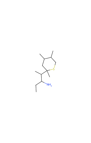 CCC(N)C(C)C1(C)CC(C)C(C)CS1